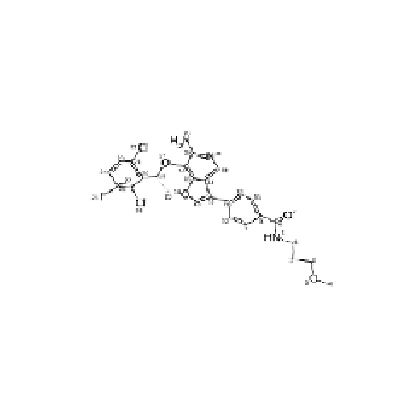 COCCCNC(=O)c1ccc(-c2coc3c(O[C@H](C)c4c(Cl)ccc(F)c4Cl)c(N)ncc23)cc1